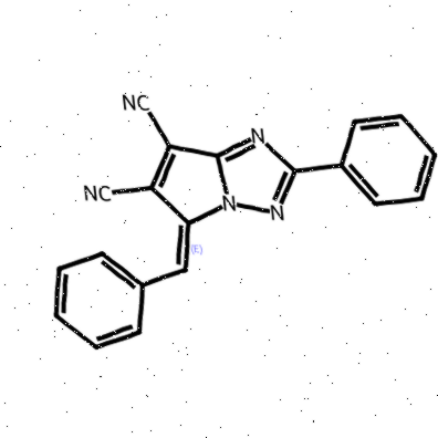 N#Cc1c(C#N)c2nc(-c3ccccc3)nn2/c1=C/c1ccccc1